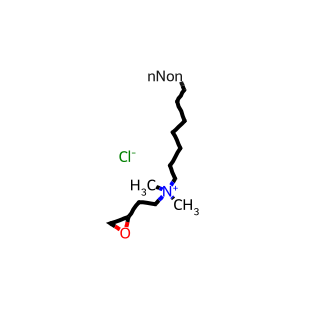 CCCCCCCCCCCCCCCC[N+](C)(C)CCC1CO1.[Cl-]